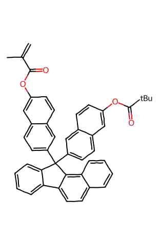 C=C(C)C(=O)Oc1ccc2cc(C3(c4ccc5cc(OC(=O)C(C)(C)C)ccc5c4)c4ccccc4-c4ccc5ccccc5c43)ccc2c1